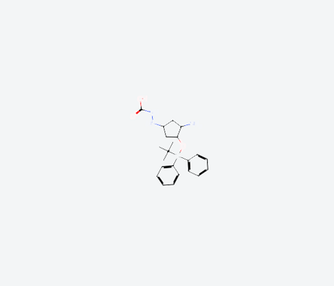 CC(C)(C)[Si](OC1CC(NNC(=O)O)CC1N)(c1ccccc1)c1ccccc1